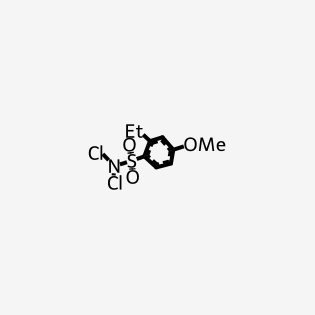 CCc1cc(OC)ccc1S(=O)(=O)N(Cl)Cl